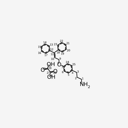 NCCCc1ccc(OCC=C(c2ccccc2)c2ccccc2)cc1.O=C(O)C(=O)O